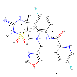 CN1C(=N)N[C@](C)(c2cc(NC(=O)c3ccc(F)cn3)ccc2F)[C@]2(CCN(Cc3cocn3)C2)S1(=O)=O